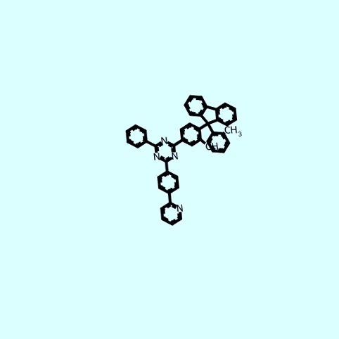 Cc1ccccc1C1(c2ccc(-c3nc(-c4ccccc4)nc(-c4ccc(-c5ccccn5)cc4)n3)cc2C)c2ccccc2-c2ccccc21